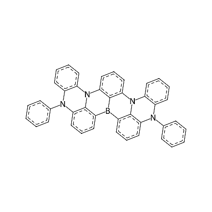 c1ccc(N2c3ccccc3N3c4cccc5c4B(c4cccc2c43)c2cccc3c2N5c2ccccc2N3c2ccccc2)cc1